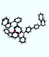 c1cc(-c2ccccc2-c2cccc3ccccc23)cc(N(c2ccc(-c3ccc(-c4cccc5ccccc45)cc3)cc2)c2ccccc2-c2ccc3c(c2)sc2ccccc23)c1